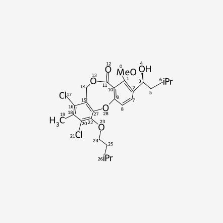 COc1c([C@@H](O)CC(C)C)ccc2c1C(=O)OCc1c(Cl)c(C)c(Cl)c(OCCC(C)C)c1O2